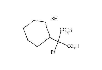 CCC(C(=O)O)(C(=O)O)C1CCCCC1.[KH]